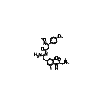 CON=C(CC(=O)N=C(N)Cc1cc(C)c(NC(=O)CN(C)C)c(Cl)c1)c1ccc(OC)cc1